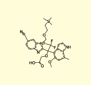 COc1cc(C)c2[nH]ccc2c1C(OCC(=O)O)(c1nc2ccc(C#N)cc2n1COCC[Si](C)(C)C)C(F)(F)F